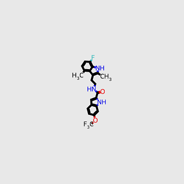 Cc1[nH]c2c(F)ccc(C)c2c1CCNC(=O)c1cc2ccc(OC(F)(F)F)cc2[nH]1